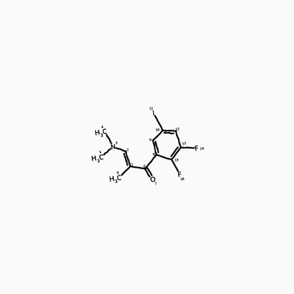 CC(=CN(C)C)C(=O)c1cc(I)cc(F)c1F